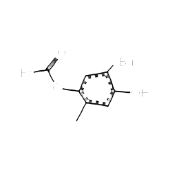 CCC(=O)Oc1cc(C(C)(C)C)c(O)cc1C